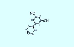 N#Cc1cc(C#N)cc(N2CCOCC2)c1